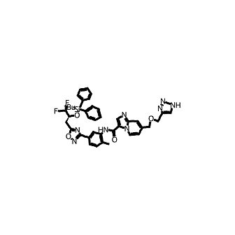 Cc1ccc(-c2noc(C[C@H](O[Si](c3ccccc3)(c3ccccc3)C(C)(C)C)C(F)F)n2)cc1NC(=O)c1cnc2cc(COCc3c[nH]nn3)ccn12